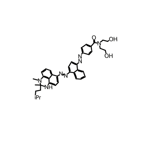 CC(C)CCC1(C)Nc2ccc(N=Nc3ccc(N=Nc4ccc(C(=O)N(CCO)CCO)cc4)c4ccccc34)c3cccc(c23)N1C